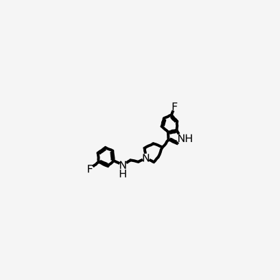 Fc1cccc(NCCN2CCC(c3c[nH]c4cc(F)ccc34)CC2)c1